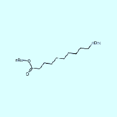 CCCCCCCCCCCCCCCCCCCC(=O)OCCCC